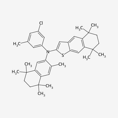 Cc1cc(Cl)cc(N(c2cc3cc4c(cc3s2)C(C)(C)CCC4(C)C)c2cc3c(cc2C)C(C)(C)CCC3(C)C)c1